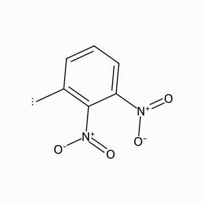 [C]c1cccc([N+](=O)[O-])c1[N+](=O)[O-]